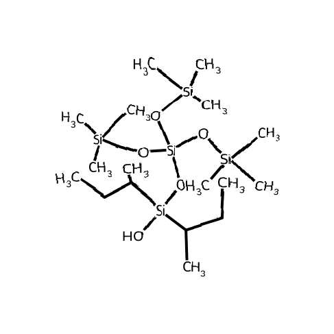 CCC(C)[Si](O)(O[Si](O[Si](C)(C)C)(O[Si](C)(C)C)O[Si](C)(C)C)C(C)CC